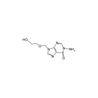 Nn1cnc2c(ncn2COCCO)c1=O